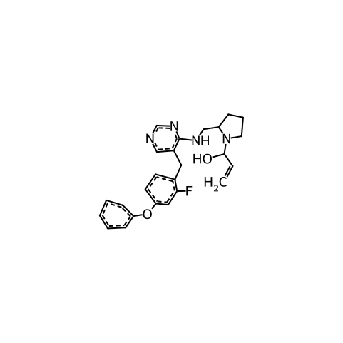 C=CC(O)N1CCCC1CNc1ncncc1Cc1ccc(Oc2ccccc2)cc1F